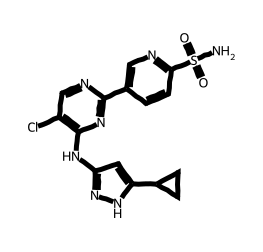 NS(=O)(=O)c1ccc(-c2ncc(Cl)c(Nc3cc(C4CC4)[nH]n3)n2)cn1